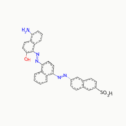 Nc1cccc2c(/N=N/c3ccc(/N=N/c4ccc5cc(S(=O)(=O)O)ccc5c4)c4ccccc34)c(O)ccc12